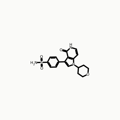 NS(=O)(=O)c1ccc(-c2cn(C3CCOCC3)c3cc[nH]c(=O)c23)cc1